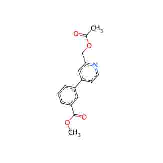 COC(=O)c1cccc(-c2ccnc(COC(C)=O)c2)c1